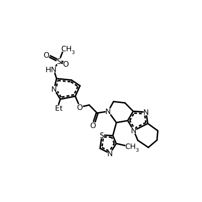 CCc1nc(NS(C)(=O)=O)ccc1OCC(=O)N1CCc2nc3n(c2C1c1scnc1C)CCCC3